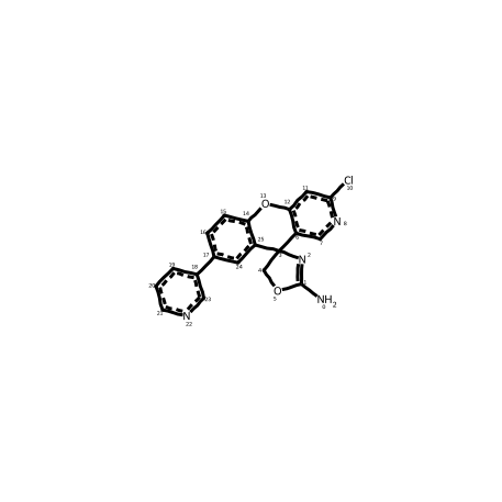 NC1=NC2(CO1)c1cnc(Cl)cc1Oc1ccc(-c3cccnc3)cc12